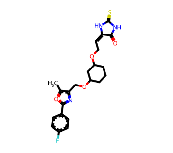 Cc1oc(-c2ccc(F)cc2)nc1COC1CCCC(OCC=C2NC(=S)NC2=O)C1